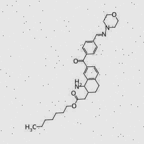 CCCCCCCOC(=O)CC1CCc2ccc(C(=O)c3ccc(C=NN4CCOCC4)cc3)cc2C1N